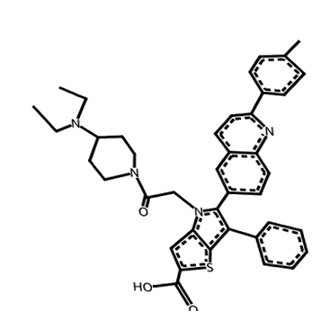 CCN(CC)C1CCN(C(=O)Cn2c(-c3ccc4nc(-c5ccc(C)cc5)ccc4c3)c(-c3ccccc3)c3sc(C(=O)O)cc32)CC1